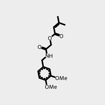 COc1ccc(CNC(=O)COC(=O)C=C(C)C)cc1OC